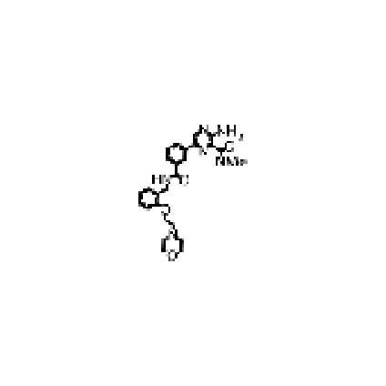 CNC(=O)c1nc(-c2cccc(C(=O)NCc3ccccc3OCCN3CCOCC3)c2)cnc1N